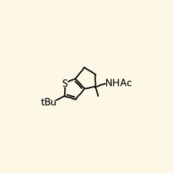 CC(=O)NC1(C)CCc2sc(C(C)(C)C)cc21